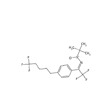 CC(C)(C)[S+]([O-])/N=C(\c1ccc(CCCCC(F)(F)F)cc1)C(F)(F)F